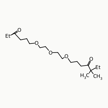 CCC(=O)CCCOCCOCCOCCCC(=O)C(C)(C)CC